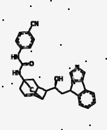 N#Cc1ccc(NC(=O)NC23CC=C4C(C2)C([C@@H](O)CC2c5ccccc5-c5cncn52)C4C3)cc1